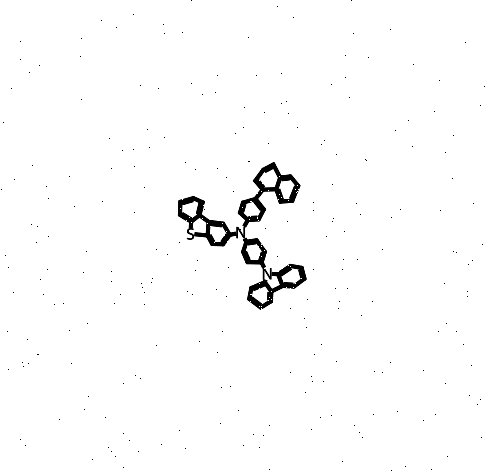 c1ccc2c(-c3ccc(N(c4ccc(-n5c6ccccc6c6ccccc65)cc4)c4ccc5sc6ccccc6c5c4)cc3)cccc2c1